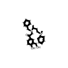 CC(CCN(C)c1ccccc1)N(CC(=O)c1ccc(O)c(CO)c1)Cc1ccccc1